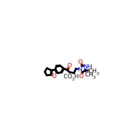 CC1(C)NC(=O)N(C[C@H](CC(=O)c2ccc3c4c(oc3c2)CCC4)C(=O)O)C1=O